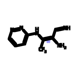 N=C/C(N)=C(\Nc1cccnn1)C(F)(F)F